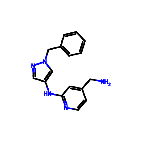 NCc1ccnc(Nc2cnn(Cc3ccccc3)c2)c1